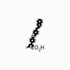 CC=CC(CC(=O)O)c1ccc(OCc2ccc(CCN3Cc4ccccc4C3)cc2)cc1